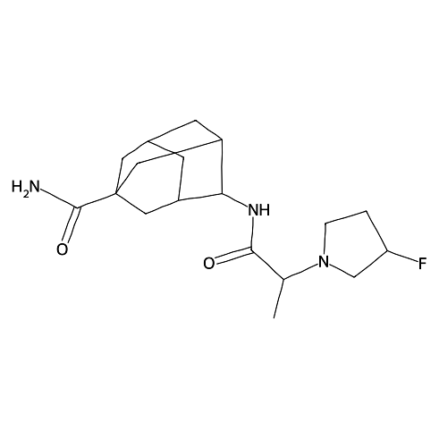 CC(C(=O)NC1C2CC3CC1CC(C(N)=O)(C3)C2)N1CCC(F)C1